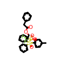 Cc1ccc(S(=O)(c2ccccc2)(c2ccccc2)S(=O)(=O)C(F)(F)COC(=O)Cc2ccccc2)cc1